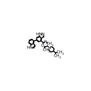 C=C(CN1CCC(C(C)C)CC1)O/C(=N\C)c1cc(-c2cccc3[nH]ccc23)cc2[nH]ncc12